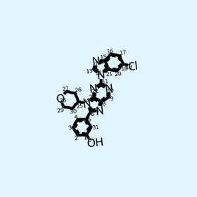 Oc1cccc(-c2nc3cnc(-n4cnc5ccc(Cl)cc54)nc3n2C2CCOCC2)c1